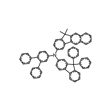 CC1(C)c2ccc(N(c3ccc(-c4ccccc4)c(-c4ccccc4)c3)c3ccc4c(c3)C(c3ccccc3)(c3ccccc3)c3ccccc3-4)cc2-c2cc3ccccc3cc21